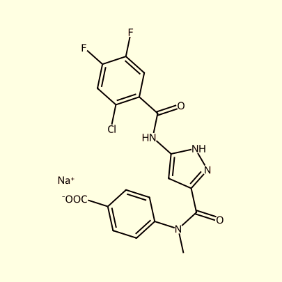 CN(C(=O)c1cc(NC(=O)c2cc(F)c(F)cc2Cl)[nH]n1)c1ccc(C(=O)[O-])cc1.[Na+]